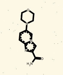 NC(=O)c1cn2cc(N3CCOCC3)ccc2n1